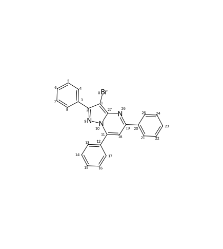 Brc1c(-c2ccccc2)nn2c(-c3ccccc3)cc(-c3ccccc3)nc12